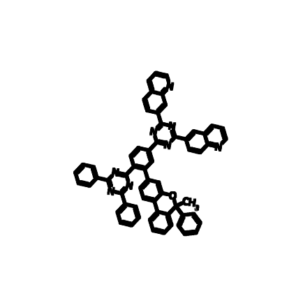 CC1(c2ccccc2)Oc2cc(-c3cc(-c4nc(-c5ccc6ncccc6c5)nc(-c5ccc6cccnc6c5)n4)ccc3-c3nc(-c4ccccc4)nc(-c4ccccc4)n3)ccc2-c2ccccc21